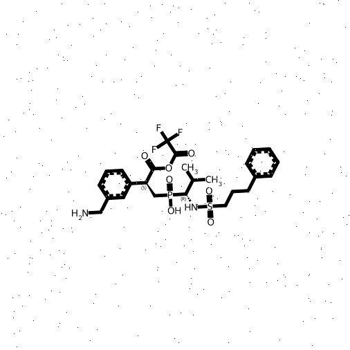 CC(C)[C@H](NS(=O)(=O)CCCc1ccccc1)P(=O)(O)C[C@H](C(=O)OC(=O)C(F)(F)F)c1cccc(CN)c1